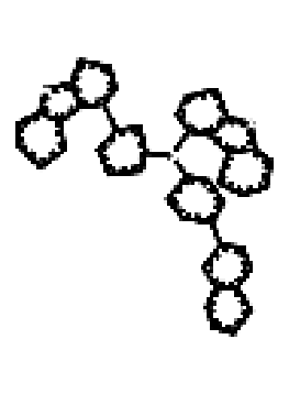 c1cc(-c2cccc3oc4ccccc4c23)cc(N(c2ccc(-c3ccc4ccccc4c3)cc2)c2cccc3oc4ccccc4c23)c1